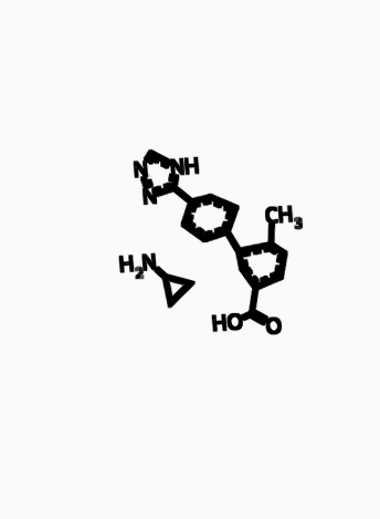 Cc1ccc(C(=O)O)cc1-c1ccc(-c2nnc[nH]2)cc1.NC1CC1